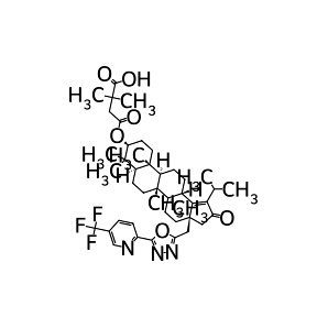 CC(C)C1=C2[C@H]3CC[C@@H]4[C@@]5(C)CC[C@H](OC(=O)CC(C)(C)C(=O)O)C(C)(C)[C@@H]5CC[C@@]4(C)[C@]3(C)CC[C@@]2(Cc2nnc(-c3ccc(C(F)(F)F)cn3)o2)CC1=O